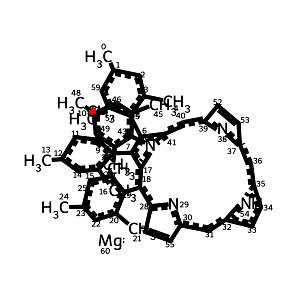 Cc1cc(C)c(-c2c(-c3c(C)cc(C)cc3C)c3c(-c4c(C)cc(C)cc4C)c4nc(cc5ccc(cc6nc(cc2n3-c2c(C)cc(C)cc2C)C=C6)[nH]5)C=C4)c(C)c1.[Mg]